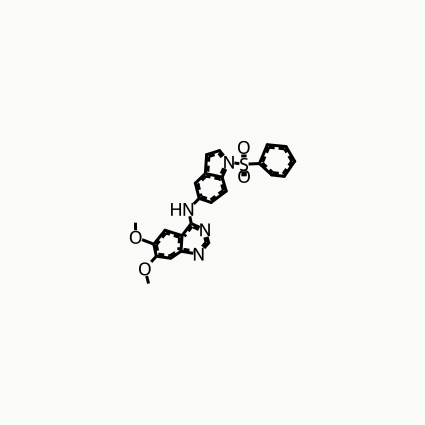 COc1cc2ncnc(Nc3ccc4c(ccn4S(=O)(=O)c4ccccc4)c3)c2cc1OC